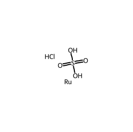 Cl.O=S(=O)(O)O.[Ru]